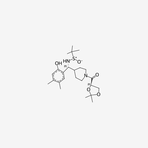 Cc1cc(O)c([C@H](N[S+]([O-])C(C)(C)C)C2CCN(C(=O)[C@H]3COC(C)(C)O3)CC2)cc1C